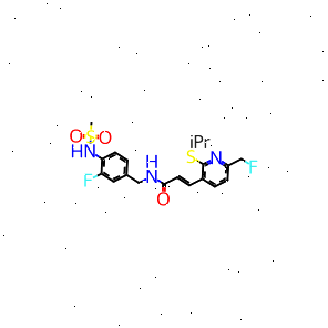 CC(C)Sc1nc(CF)ccc1/C=C/C(=O)NCc1ccc(NS(C)(=O)=O)c(F)c1